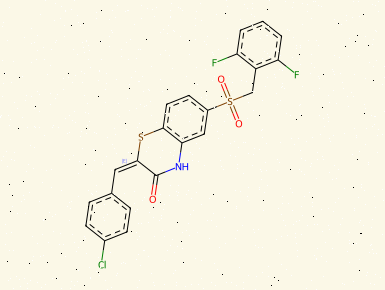 O=C1Nc2cc(S(=O)(=O)Cc3c(F)cccc3F)ccc2S/C1=C/c1ccc(Cl)cc1